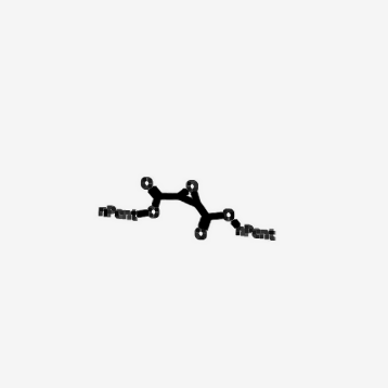 CCCCCOC(=O)C1OC1C(=O)OCCCCC